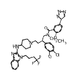 COc1ccc(C2C=NN=N2)cc1C(=O)N(C)CC(CCN1CCC(Nc2nc3ccccc3n2CCCC(F)(F)F)CC1)c1ccc(Cl)c(Cl)c1